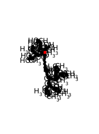 CC1(C)OCC(C)(C(=O)OCC(C)(COC(=O)C2(C)COC(C)(C)OC2)C(=O)OCC(C)(COC(=O)C(C)(COC(=O)C2(C)COC(C)(C)OC2)COC(=O)C2(C)COC(C)(C)OC2)C(=O)OCC2=CN(CCCCCCOC(=O)C(C)(COC(=O)C(C)(COC(=O)C(C)(CO)CO)COC(=O)C(C)(CO)CO)COC(=O)C(C)(COC(=O)C(C)(CO)CO)COC(=O)C(C)(CO)CO)NN2)CO1